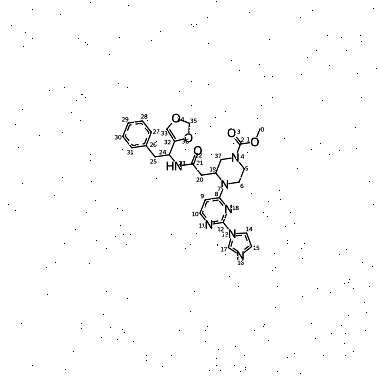 COC(=O)N1CCN(c2ccnc(-n3ccnc3)n2)C(CC(=O)NC(Cc2ccccc2)C2=COCO2)C1